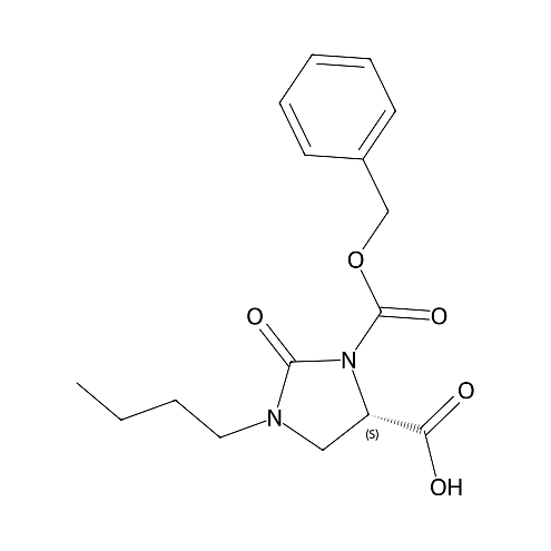 CCCCN1C[C@@H](C(=O)O)N(C(=O)OCc2ccccc2)C1=O